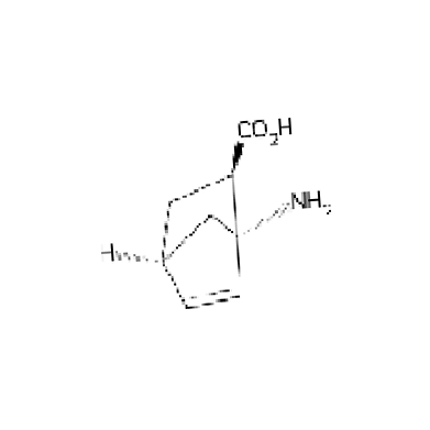 N[C@@]12C=C[C@@H](C[C@H]1C(=O)O)C2